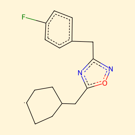 Fc1ccc(Cc2noc(CC3CC[CH]CC3)n2)cc1